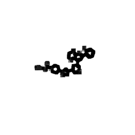 CC(C)(C)OC(=O)N1CCC(n2cc(-c3cncc(-c4cc(-c5ccccc5F)nc5nccnc45)c3)cn2)CC1